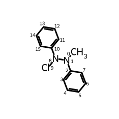 CN(c1ccccc1)N(Cl)c1ccccc1